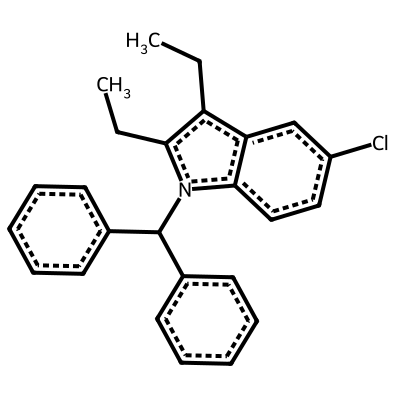 CCc1c(CC)n(C(c2ccccc2)c2ccccc2)c2ccc(Cl)cc12